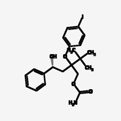 CC(C)(C)C(COC(N)=O)(C[C@@H](O)c1ccccc1)Oc1ccc(I)cc1